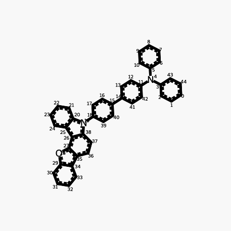 c1ccc(N(c2ccccc2)c2ccc(-c3ccc(-n4c5ccccc5c5c6oc7ccccc7c6ccc54)cc3)cc2)cc1